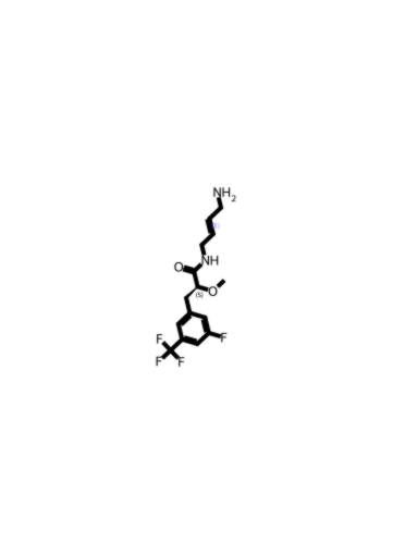 CO[C@@H](Cc1cc(F)cc(C(F)(F)F)c1)C(=O)NC/C=C/CN